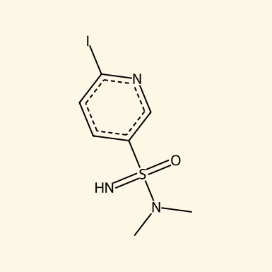 CN(C)S(=N)(=O)c1ccc(I)nc1